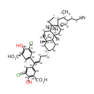 CC(C)CCC[C@@H](C)[C@H]1CC[C@H]2[C@@H]3CC[C@H]4C[C@@H](CCC=C(c5cc(Cl)c(O)c(C(=O)O)c5)c5cc(Cl)c(O)c(C(=O)O)c5)CC[C@]4(C)[C@H]3CC[C@]12C